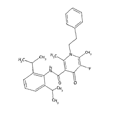 Cc1c(F)c(=O)c(C(=O)Nc2c(C(C)C)cccc2C(C)C)c(C)n1CCc1ccccc1